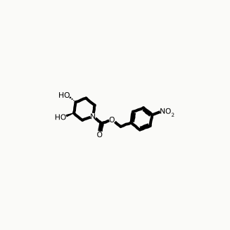 O=C(OCc1ccc([N+](=O)[O-])cc1)N1CC[C@@H](O)[C@H](O)C1